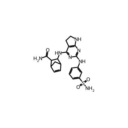 NC(=O)C1C2C=CC(C2)C1Nc1nc(Nc2cccc(S(N)(=O)=O)c2)nc2c1CCN2